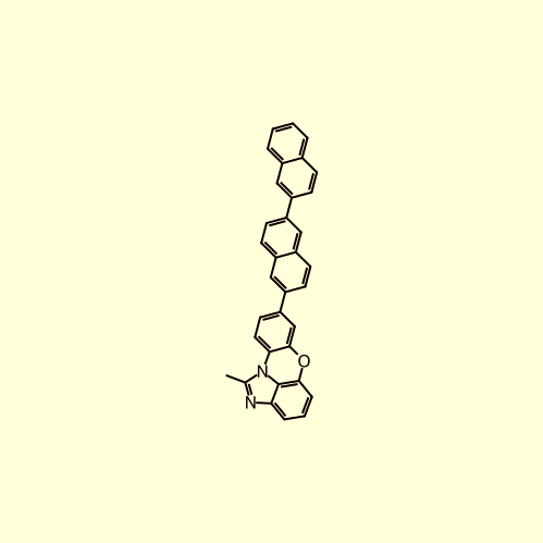 Cc1nc2cccc3c2n1-c1ccc(-c2ccc4cc(-c5ccc6ccccc6c5)ccc4c2)cc1O3